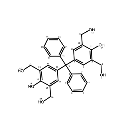 OCc1cc(C(c2ccccc2)(c2ccccc2)c2cc(CO)c(O)c(CO)c2)cc(CO)c1O